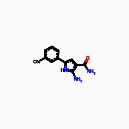 NC(=O)c1cc(-c2cccc(N=O)c2)[nH]c1N